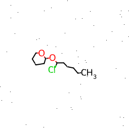 CCCCCC(Cl)OC1CCCCO1